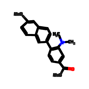 COC(=O)c1ccc(-c2ccc3cc(OC)ccc3c2)c(N(C)C)c1